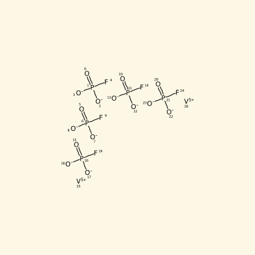 O=P([O-])([O-])F.O=P([O-])([O-])F.O=P([O-])([O-])F.O=P([O-])([O-])F.O=P([O-])([O-])F.[V+5].[V+5]